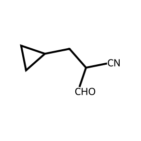 N#CC(C=O)CC1CC1